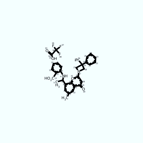 Cc1cc(C(C)Nc2ccccc2C(=O)O)c2oc(N3CC(c4ccccc4)(C(C)C)C3)cc(=O)c2c1.O=C(O)C(F)(F)F